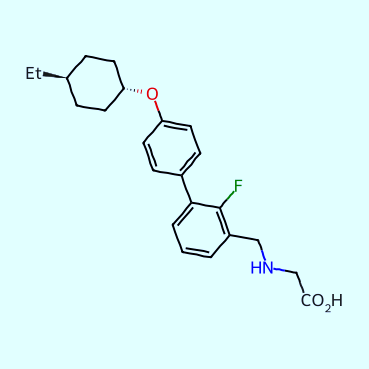 CC[C@H]1CC[C@H](Oc2ccc(-c3cccc(CNCC(=O)O)c3F)cc2)CC1